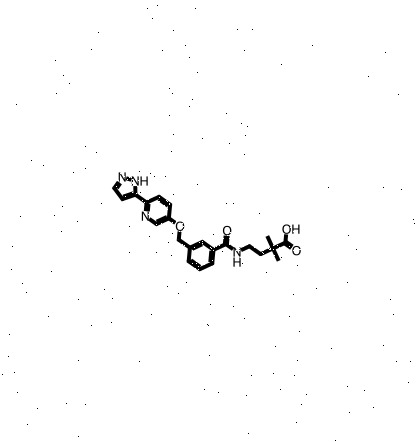 CC(C)(CCNC(=O)c1cccc(COc2ccc(-c3ccn[nH]3)nc2)c1)C(=O)O